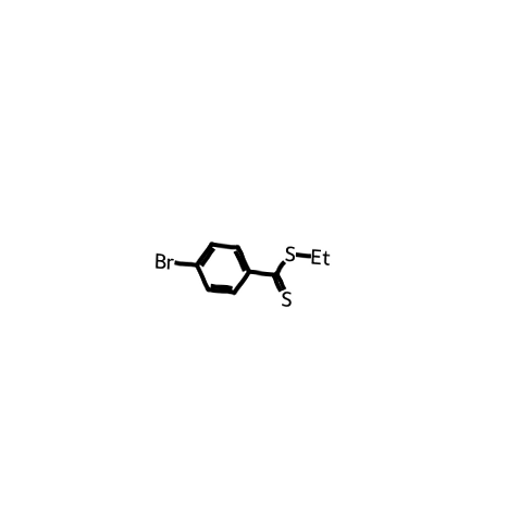 CCSC(=S)c1ccc(Br)cc1